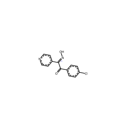 O=C(/C(=N/O)c1ccncc1)c1ccc(Cl)cc1